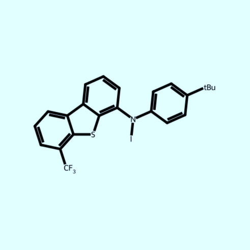 CC(C)(C)c1ccc(N(I)c2cccc3c2sc2c(C(F)(F)F)cccc23)cc1